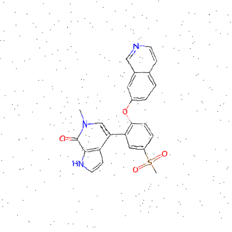 Cn1cc(-c2cc(S(C)(=O)=O)ccc2Oc2ccc3ccncc3c2)c2cc[nH]c2c1=O